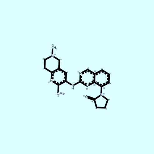 COc1nc2c(cc1Nc1ncc3cccc(N4CCCC4=O)c3n1)CN(C)CC2